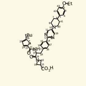 CCOc1ccc(C2CCN(c3cnc(-c4ccc(CC(NC(=O)c5ccc(C(C)(C)C)s5)C(=O)N5CC(C(=O)O)C5)cc4)nc3)CC2)cc1